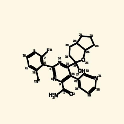 NC(=O)c1nc(-c2c(F)cccc2F)nc(C2(O)CCC3CCCC3O2)c1-c1cccnc1